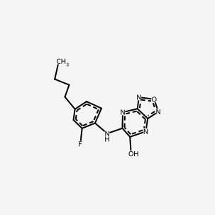 CCCCc1ccc(Nc2nc3nonc3nc2O)c(F)c1